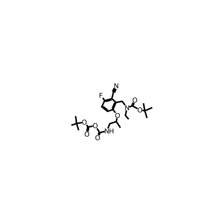 CCN(Cc1c(OC(C)CNC(=O)OC(=O)OC(C)(C)C)ccc(F)c1C#N)C(=O)OC(C)(C)C